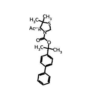 CC(=O)[C@H]1N(C(=O)OC(C)(C)c2ccc(-c3ccccc3)cc2)CSC1(C)C